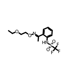 CCOCCO/N=C(\C)c1ccccc1NS(=O)(=O)C(F)(F)F